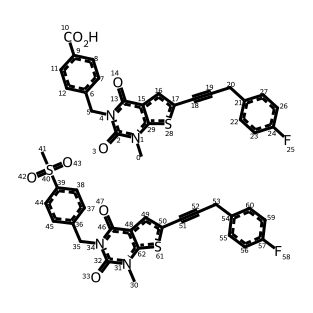 Cn1c(=O)n(Cc2ccc(C(=O)O)cc2)c(=O)c2cc(C#CCc3ccc(F)cc3)sc21.Cn1c(=O)n(Cc2ccc(S(C)(=O)=O)cc2)c(=O)c2cc(C#CCc3ccc(F)cc3)sc21